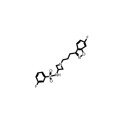 O=S(=O)(NC1CN(CCCc2noc3cc(F)ccc23)C1)c1cccc(F)c1